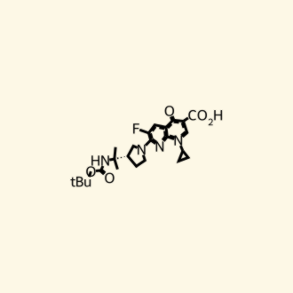 CC(C)(C)OC(=O)NC(C)(C)[C@H]1CCN(c2nc3c(cc2F)c(=O)c(C(=O)O)cn3C2CC2)C1